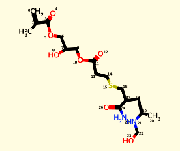 C=C(C)C(=O)OCC(O)COC(=O)CCSCC(CC(C)NCO)C(N)=O